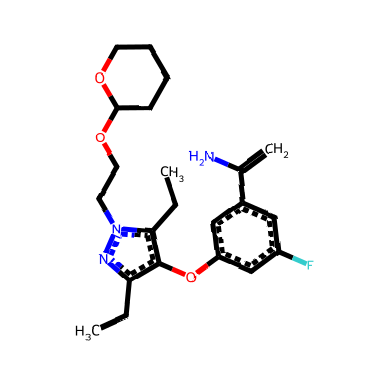 C=C(N)c1cc(F)cc(Oc2c(CC)nn(CCOC3CCCCO3)c2CC)c1